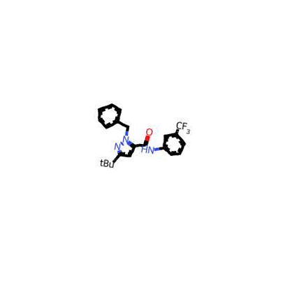 CC(C)(C)c1cc(C(=O)Nc2cccc(C(F)(F)F)c2)n(Cc2ccccc2)n1